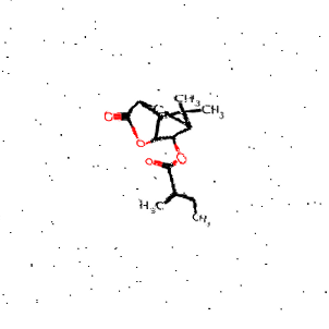 CCC(C)C(=O)OC1C2OC(=O)C3CC1C(C)(C)C32